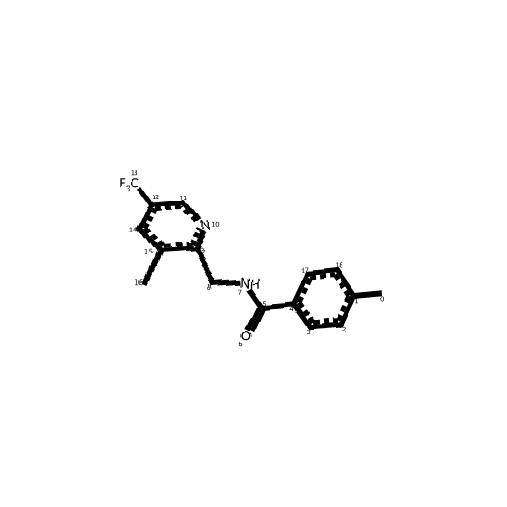 Cc1ccc(C(=O)NCc2ncc(C(F)(F)F)cc2C)cc1